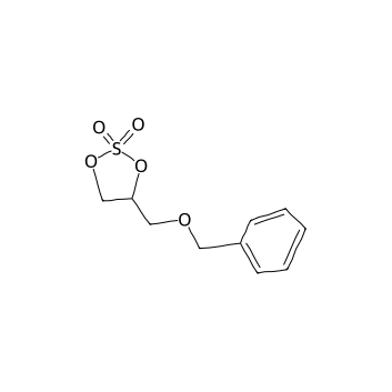 O=S1(=O)OCC(COCc2ccccc2)O1